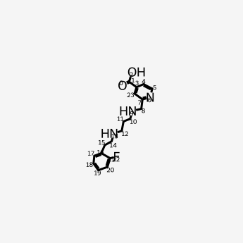 O=C(O)c1ccnc(CNCCCNCCc2ccccc2F)c1